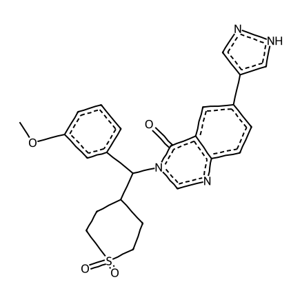 COc1cccc(C(C2CCS(=O)(=O)CC2)n2cnc3ccc(-c4cn[nH]c4)cc3c2=O)c1